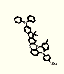 Cc1ccc2c(c1)B1c3cc4c(cc3Oc3cccc(c31)N2c1ccc(C(C)(C)C)cc1)-c1ccc(N(c2ccccc2)c2ccccc2)cc1C4(C)C